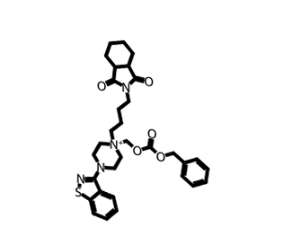 O=C(OCc1ccccc1)OC[N+]1(CCCCN2C(=O)C3CCCCC3C2=O)CCN(c2nsc3ccccc23)CC1